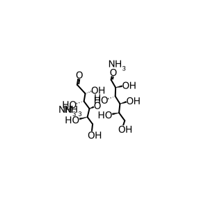 N.N.N.O=C[C@@H](O)[C@@H](O)[C@@H](O)[C@H](O)CO.O=C[C@H](O)[C@@H](O)[C@@H](O)[C@H](O)CO